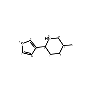 CC1CCC(c2ccsc2)NC1